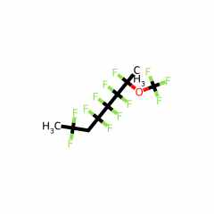 CC(F)(F)CC(F)(F)C(F)(F)C(F)(F)C(C)(F)OC(F)(F)F